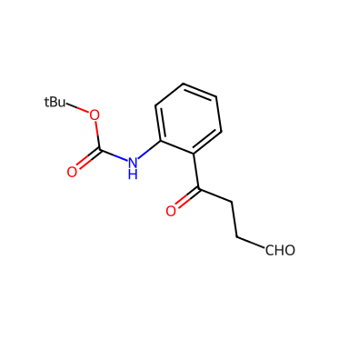 CC(C)(C)OC(=O)Nc1ccccc1C(=O)CCC=O